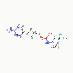 C[C@@H](CC(F)(F)F)NC(=O)OCC1CC(c2cnc(N)nc2)C1